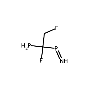 N=PC(F)(P)CF